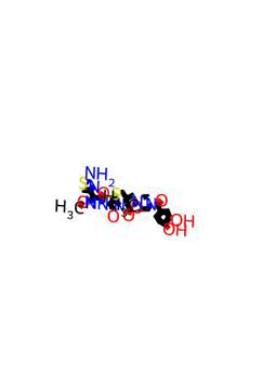 CON=C(C(=O)N[C@@H]1C(=O)N2C(C(=O)[O-])=C(C[N+]3(C)CCN(C(=O)c4ccc(O)c(O)c4)CC3)CS[C@@H]12)c1csc(N)n1